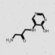 NCC(=O)CNc1cncnc1O